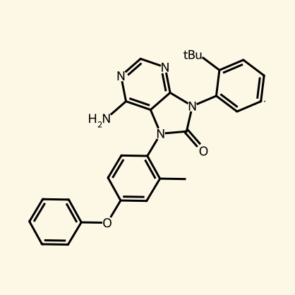 Cc1cc(Oc2ccccc2)ccc1-n1c(=O)n(-c2c[c]ccc2C(C)(C)C)c2ncnc(N)c21